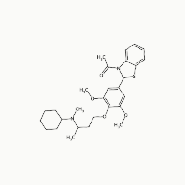 COc1cc(C2Sc3ccccc3N2C(C)=O)cc(OC)c1OCCC(C)N(C)C1CCCCC1